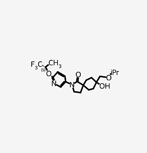 CC(C)OCC1(O)CCC2(CCN(c3ccc(O[C@@H](C)C(F)(F)F)nc3)C2=O)CC1